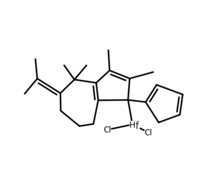 CC(C)=C1CCCC2=C(C(C)=C(C)[C]2(C2=CC=CC2)[Hf]([Cl])[Cl])C1(C)C